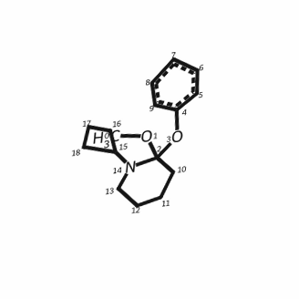 COC1(Oc2ccccc2)CCCCN1C1CCC1